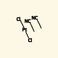 CC#N.CC#N.[Cl][Pt][Cl]